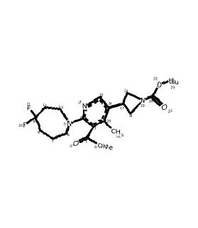 COC(=O)c1c(N2CCCC(F)(F)CC2)ncc(C2CN(C(=O)OC(C)(C)C)C2)c1C